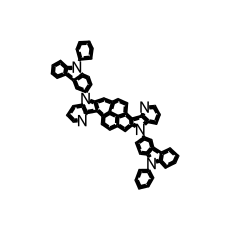 c1ccc(-n2c3ccccc3c3cc(-n4c5cccnc5c5c6ccc7cc8c(c9ccc(cc54)c6c79)c4ncccc4n8-c4ccc5c(c4)c4ccccc4n5-c4ccccc4)ccc32)cc1